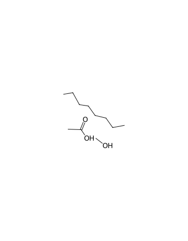 CC(=O)O.CCCCCCCC.CO